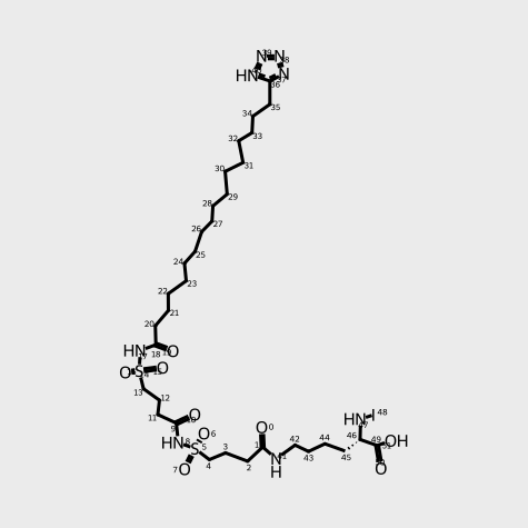 O=C(CCCS(=O)(=O)NC(=O)CCCS(=O)(=O)NC(=O)CCCCCCCCCCCCCCCCc1nnn[nH]1)NCCCC[C@H](NI)C(=O)O